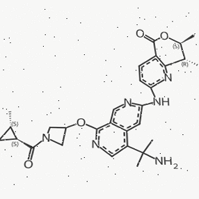 C[C@@H]1OC(=O)c2ccc(Nc3cc4c(C(C)(C)N)cnc(OC5CN(C(=O)[C@H]6C[C@@H]6C)C5)c4cn3)nc2[C@H]1C